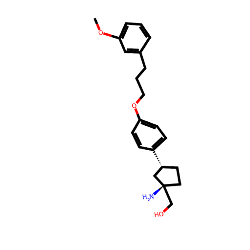 COc1cccc(CCCOc2ccc([C@@H]3CC[C@](N)(CO)C3)cc2)c1